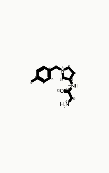 Cc1ccc(CN2CCC(NC(=O)CN)C2)cc1